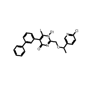 CCn1c(COC(C)c2ccc(Cl)nc2)nc(=O)c(-c2cccc(-c3ccccc3)c2)c1I